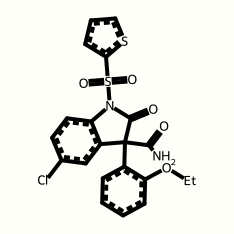 CCOc1ccccc1C1(C(N)=O)C(=O)N(S(=O)(=O)c2cccs2)c2ccc(Cl)cc21